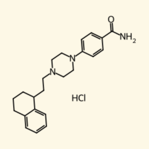 Cl.NC(=O)c1ccc(N2CCN(CCC3CCCc4ccccc43)CC2)cc1